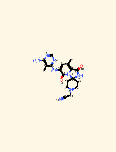 Cc1cc(Nc2ncnc(N)c2C)c(=O)n2c1C(=O)NC21CCN(CC#N)CC1